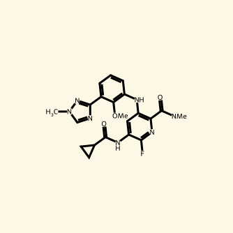 CNC(=O)c1nc(F)c(NC(=O)C2CC2)cc1Nc1cccc(-c2ncn(C)n2)c1OC